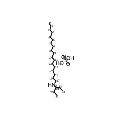 CCCCCCCCCCCCCCCCCCNC(CC)CC.O=S(=O)(O)O